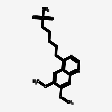 COc1cc2ncnc(CCCCCS(N)(=O)=O)c2cc1OC